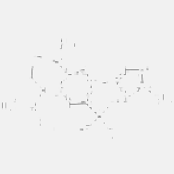 CC(C)N1CCN(C)c2cc(-c3cnn(C)c3)c(C(F)(F)F)cc21